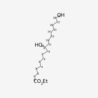 CCOC(=O)CCCCCCCCC(O)CCCCCCCCO